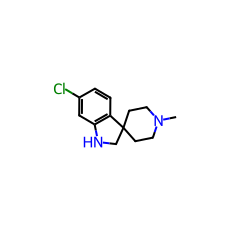 CN1CCC2(CC1)CNc1cc(Cl)ccc12